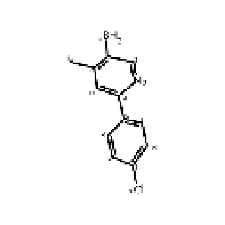 Bc1cnc(-c2ccc(Cl)cc2)cc1C